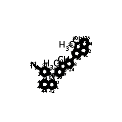 CC1(C)c2cc(-c3cc4c5c(ccc6cccc(c65)C4(C)C)c3)ccc2-c2ccc(N(c3ccc(C#N)cc3)c3cccc4ccccc34)cc21